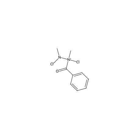 CN(Cl)[N+](C)(Cl)C(=O)c1ccccc1